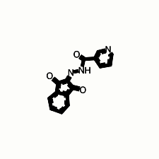 O=C(NN=c1c(=O)c2ccccc2c1=O)c1cccnc1